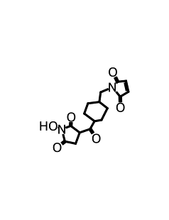 O=C(C1CCC(CN2C(=O)C=CC2=O)CC1)C1CC(=O)N(O)C1=O